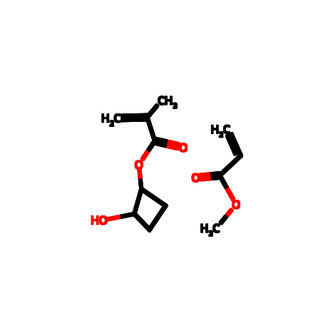 C=C(C)C(=O)OC1CCC1O.C=CC(=O)OC